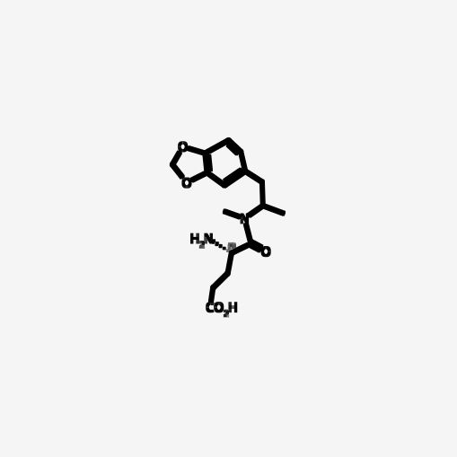 CC(Cc1ccc2c(c1)OCO2)N(C)C(=O)[C@@H](N)CCC(=O)O